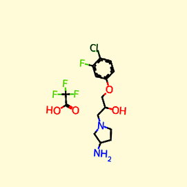 NC1CCN(CC(O)COc2ccc(Cl)c(F)c2)C1.O=C(O)C(F)(F)F